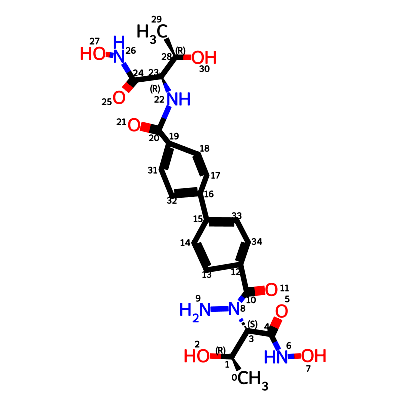 C[C@@H](O)[C@@H](C(=O)NO)N(N)C(=O)c1ccc(-c2ccc(C(=O)N[C@@H](C(=O)NO)[C@@H](C)O)cc2)cc1